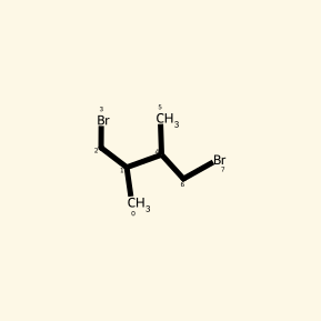 CC(CBr)C(C)CBr